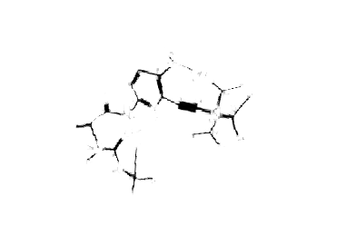 CC(C(=O)Nc1ccc(B(O)O)c(C#C[Si](C(C)C)(C(C)C)C(C)C)n1)N(C)C(=O)OC(C)(C)C